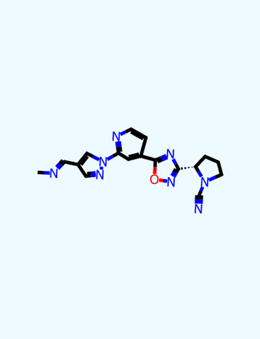 C/N=C/c1cnn(-c2cc(-c3nc([C@@H]4CCCN4C#N)no3)ccn2)c1